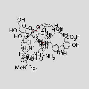 CN[C@H](CC(C)C)C(=O)N[C@H]1C(=O)N[C@@H](CC(N)=O)C(=O)N[C@H]2C(=O)N[C@H]3C(=O)N[C@H](C(=O)N[C@@H](C(=O)O)c4cc(O)cc(O)c4-c4cc3ccc4O)[C@H](O)c3ccc(c(Cl)c3)Oc3cc2cc(c3O[C@@H]2O[C@H](CO)[C@@H](O)[C@H](O)[C@H]2O[C@H]2C[C@](C)(NCCN)[C@H](O)[C@H](C)O2)Oc2ccc(cc2Cl)[C@H]1O